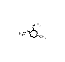 COC1CN(C)CCN1OC